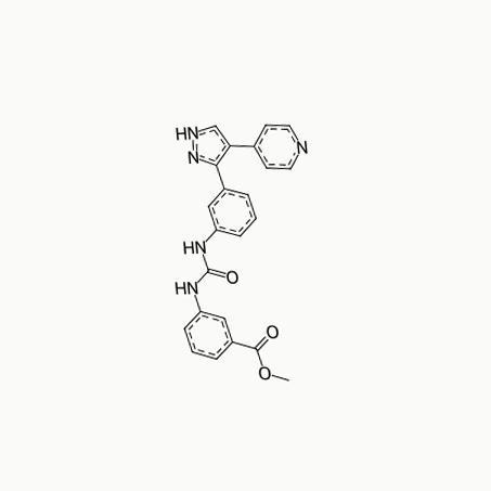 COC(=O)c1cccc(NC(=O)Nc2cccc(-c3n[nH]cc3-c3ccncc3)c2)c1